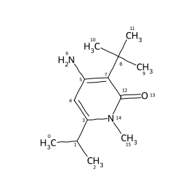 CC(C)c1cc(N)c(C(C)(C)C)c(=O)n1C